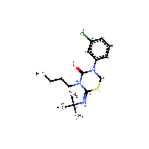 CCCCN1C(=O)N(c2cccc(Cl)c2)CSC1=NC(C)(C)C